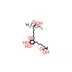 CC(C)(CCCCCCc1c(CCCCCC2(C(=O)O)CC2)cc(O)c(O)c1O)C(=O)O